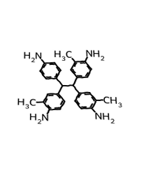 Cc1cc(C(c2ccc(N)cc2)C(c2ccc(N)c(C)c2)c2ccc(N)c(C)c2)ccc1N